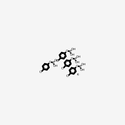 OB(O)Oc1ccc(Cl)cc1.OB(O)Oc1ccc(Cl)cc1.OB(O)Oc1ccc(Cl)cc1.OB(O)Oc1ccc(Cl)cc1.[K]